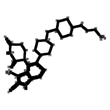 Cn1c(=O)[nH]c2ccc(C3CCN(CC4CCC(OCCN)CC4)CC3)c(C3CCC(=O)NC3=O)c21